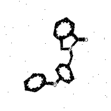 O=C1c2ccccc2CN1Cc1ccc(Oc2ccccc2)cc1